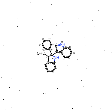 O=CC1c2ccccc2NC1(c1ccccc1)c1c[nH]c2ccccc12